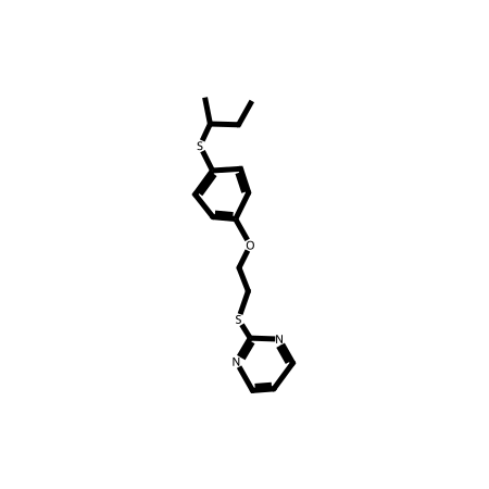 CCC(C)Sc1ccc(OCCSc2ncccn2)cc1